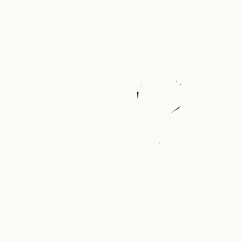 CC(O)C(=O)N[C@H](CN1CCCC1)[C@H](O)c1ccc2c(c1)OCCO2